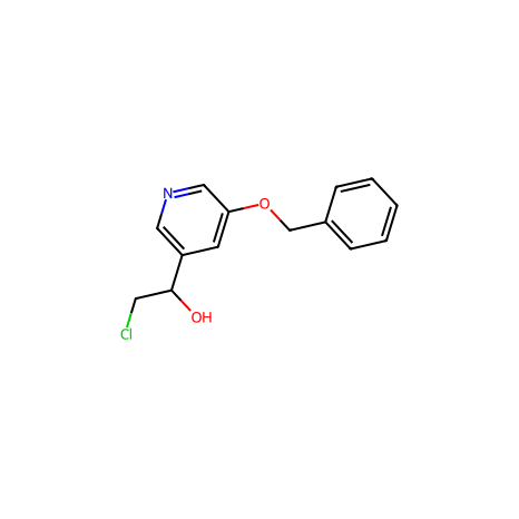 OC(CCl)c1cncc(OCc2ccccc2)c1